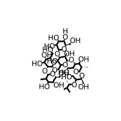 CC1C(O)[C@H](O)[C@H](CO)O[C@H]1O[C@@H]1C(O)[C@H](O)C(CO)O[C@@H]1OCC1O[C@@H](O[C@@H]2C(CO)O[C@@H](O[C@@H](CO)C(CO)O[C@@H](C)C(C)C)[C@@H](C)C2O)[C@H](O)C(O[C@H]2O[C@H](CO)[C@@H](O)C(O)C2O)[C@@H]1O